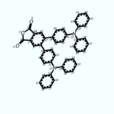 O=C1OC(=O)c2cc(-c3ccc(N(c4ccccc4)c4ccccc4)cc3)c(-c3ccc(N(c4ccccc4)c4ccccc4)cc3)cc21